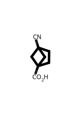 N#CC12CCC(C(=O)O)(C1)C2